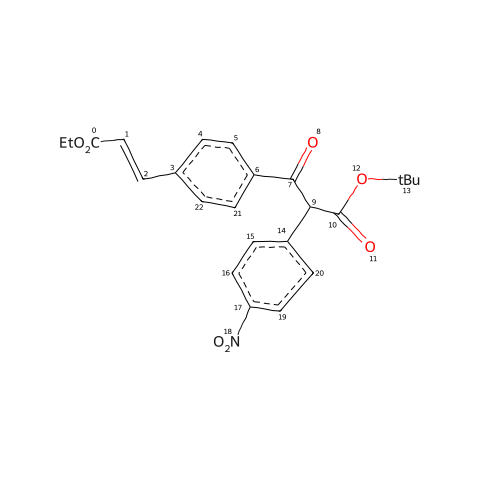 CCOC(=O)C=Cc1ccc(C(=O)C(C(=O)OC(C)(C)C)c2ccc([N+](=O)[O-])cc2)cc1